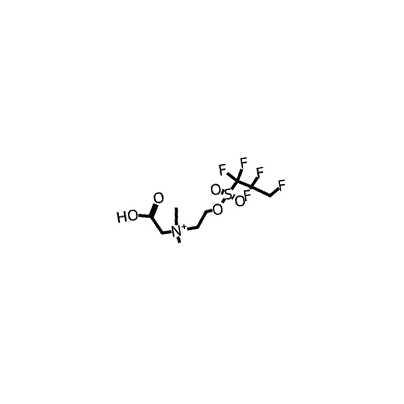 C[N+](C)(CCOS(=O)(=O)C(F)(F)C(F)(F)CF)CC(=O)O